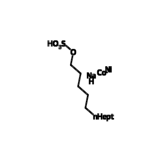 CCCCCCCCCCCCOS(=O)(=O)O.[Co].[NaH].[Ni]